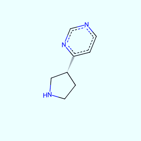 c1cc([C@@H]2CCNC2)ncn1